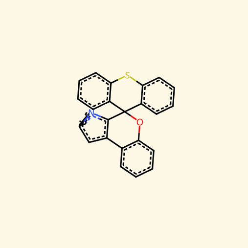 c1ccc2c(c1)OC1(c3ccccc3Sc3ccccc31)c1c-2cc2ccccn12